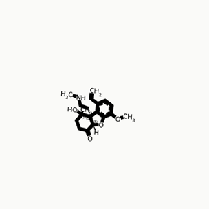 C=Cc1ccc(OC)c2c1[C@@]1(CCNC)[C@@H](O2)C(=O)CC[C@]1(C)O